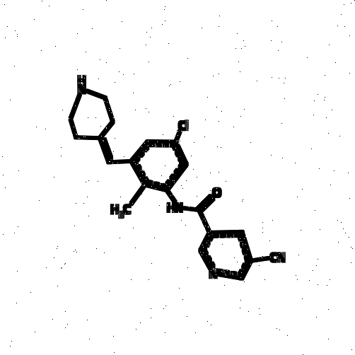 Cc1c(C=C2CCNCC2)cc(Cl)cc1NC(=O)c1cncc(C#N)c1